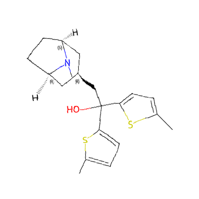 Cc1ccc(C(O)(C[C@H]2C[C@H]3CC[C@@H](C2)N3C)c2ccc(C)s2)s1